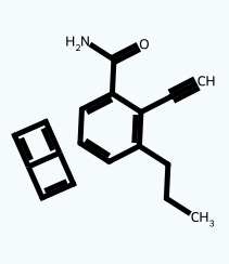 C#Cc1c(CCC)cccc1C(N)=O.c1cc2ccc1-2